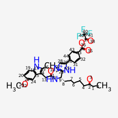 CCC(=O)CCCCC[C@H](NC(=O)Cc1c(C)[nH]c2ccc(OC)cc12)C1=[N+]C=C(c2ccc(C(=O)OC(=O)C(F)(F)F)cc2)N1